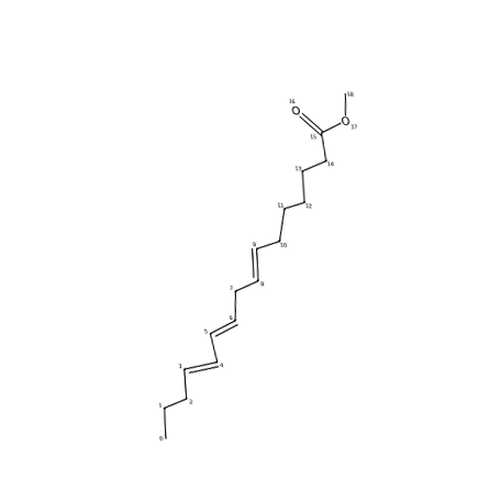 CCCC=CC=CCC=CCCCCCC(=O)OC